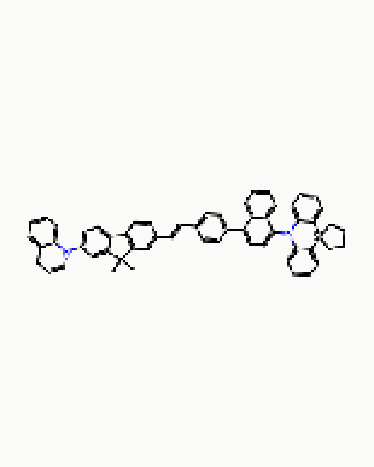 CC1(C)c2cc(/C=C/c3ccc(-c4ccc(N5c6ccccc6[Si]6(CCCC6)c6ccccc65)c5ccccc45)cc3)ccc2-c2ccc(N3C=CCc4ccccc43)cc21